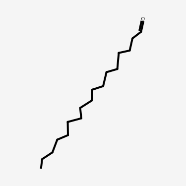 CCCCCCCCCCCCCCCCC=O